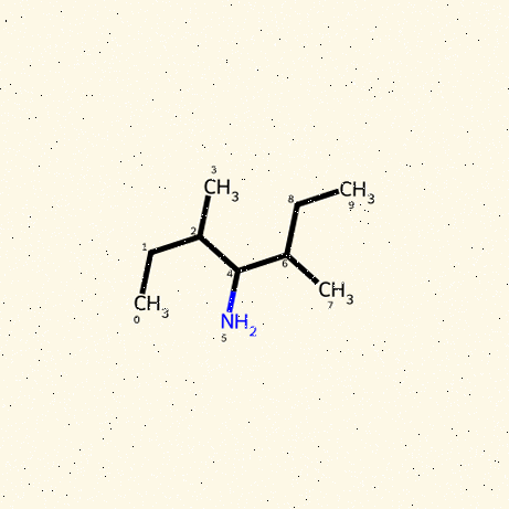 CCC(C)C(N)C(C)CC